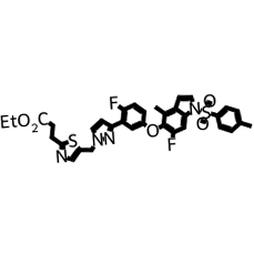 CCOC(=O)CCc1ncc(Cn2ccc(-c3cc(Oc4c(F)cc5c(ccn5S(=O)(=O)c5ccc(C)cc5)c4C)ccc3F)n2)s1